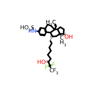 C=CC12CCc3cc(NS(=O)(=O)O)ccc3C1[C@@H](CCCCCC[C@@H](O)C(F)(F)C(F)(F)F)C[C@@]1(C)C2CC[C@@H]1O